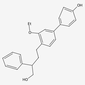 CCOc1cc(-c2ccc(O)cc2)ccc1CCC(CO)c1ccccc1